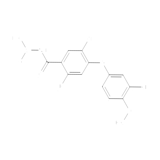 C[S+]([O-])NC(=O)c1cc(Cl)c(Oc2ccc(OC(F)(F)F)c(Cl)c2)cc1F